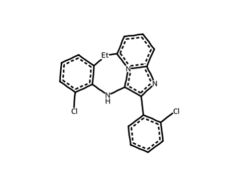 CCc1cccc2nc(-c3ccccc3Cl)c(Nc3c(C)cccc3Cl)n12